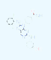 NC(=O)[C@H]1CC[C@@H](n2c(Nc3c(F)cccc3Cl)nc3cnc(N[C@@H]4CCC[C@@H](O)C4)nc32)CC1